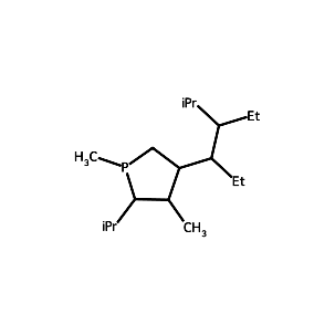 CCC(C(C)C)C(CC)C1CP(C)C(C(C)C)C1C